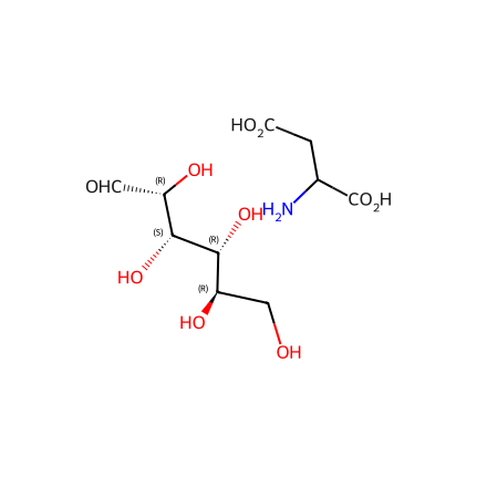 NC(CC(=O)O)C(=O)O.O=C[C@H](O)[C@@H](O)[C@H](O)[C@H](O)CO